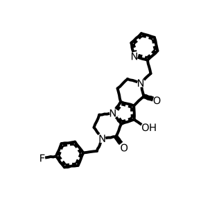 O=C1c2c(O)c3n(c2CCN1Cc1ccccn1)CCN(Cc1ccc(F)cc1)C3=O